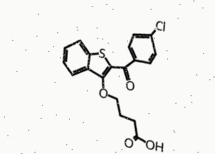 O=C(O)CCCOc1c(C(=O)c2ccc(Cl)cc2)sc2ccccc12